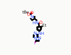 CCc1cc(Nc2nccn3c(I)cnc23)ccc1C(=O)NCC1CCN(C(=O)OC(C)(C)C)C1